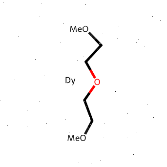 COCCOCCOC.[Dy]